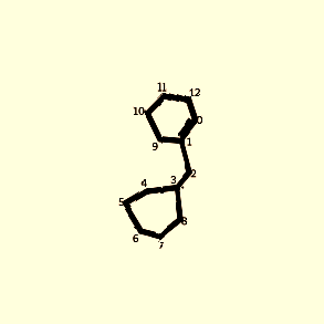 C1=C(C[C]2CCCCC2)CCCC1